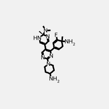 CN(C)[C@]1(C)N=CC(c2cnc(N3CCC(N)CC3)nc2C2=CCC(C)(N)C(F)=C2)=CN1